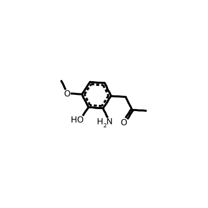 COc1ccc(CC(C)=O)c(N)c1O